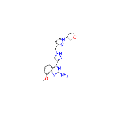 COc1cccc2c(-c3cn(Cc4ccn(C5CCOC5)n4)nn3)nc(N)nc12